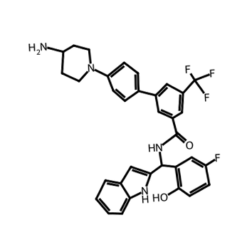 NC1CCN(c2ccc(-c3cc(C(=O)NC(c4cc5ccccc5[nH]4)c4cc(F)ccc4O)cc(C(F)(F)F)c3)cc2)CC1